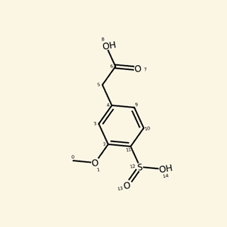 COc1cc(CC(=O)O)ccc1S(=O)O